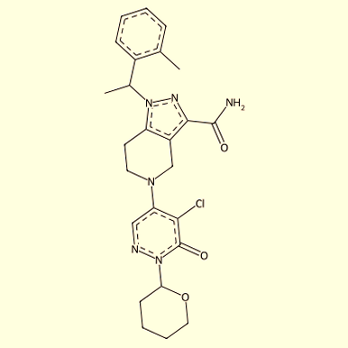 Cc1ccccc1C(C)n1nc(C(N)=O)c2c1CCN(c1cnn(C3CCCCO3)c(=O)c1Cl)C2